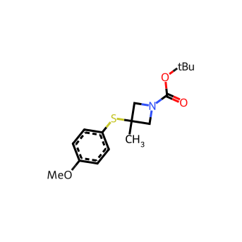 COc1ccc(SC2(C)CN(C(=O)OC(C)(C)C)C2)cc1